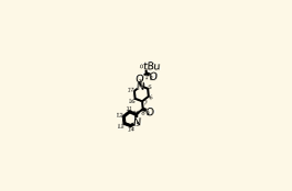 CC(C)(C)C(=O)ON1CCC(C(=O)c2ccccn2)CC1